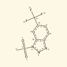 CS(=O)(=O)n1nnc2ccc(C(F)(F)F)cc21